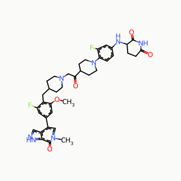 COc1cc(-c2cn(C)c(=O)c3[nH]ncc23)cc(F)c1CC1CCN(CC(=O)C2CCN(c3ccc(NC4CCC(=O)NC4=O)cc3F)CC2)CC1